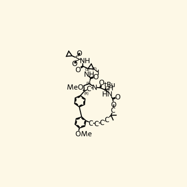 COc1ccc2c(c1)CCCCC(C)(C)COC(=O)N[C@@H](C(C)(C)C)C(=O)N1C[C@@](OC)(C[C@H]1C(=O)N[C@]1(C(=O)NS(=O)(=O)C3CC3)C[C@H]1I)c1ccc-2cc1